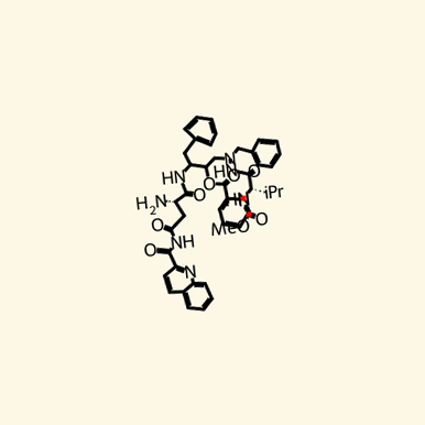 COC(=O)N[C@H](C(=O)NN(Cc1ccccc1)CC(OC(=O)c1ccccn1)C(Cc1ccccc1)NC(=O)[C@@H](N)CC(=O)NC(=O)c1ccc2ccccc2n1)C(C)C